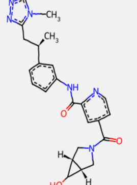 C[C@H](Cc1nncn1C)c1cccc(NC(=O)c2cc(C(=O)N3C[C@@H]4C(O)[C@@H]4C3)ccn2)c1